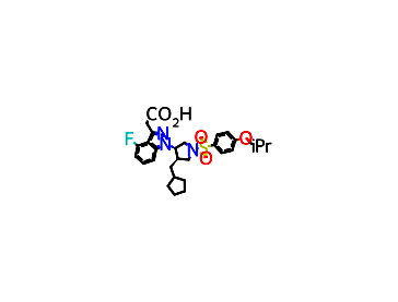 CC(C)Oc1ccc(S(=O)(=O)N2C[C@@H](CC3CCCC3)[C@@H](n3nc(CC(=O)O)c4c(F)cccc43)C2)cc1